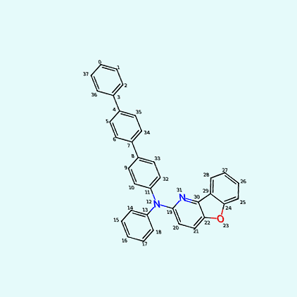 c1ccc(-c2ccc(-c3ccc(N(c4ccccc4)c4ccc5oc6ccccc6c5n4)cc3)cc2)cc1